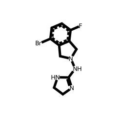 Fc1ccc(Br)c2c1CN(NC1=NCCN1)C2